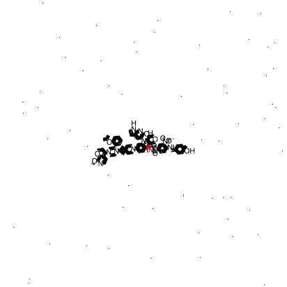 COc1nccc2c1OCC[C@@H]2N1CCN(C2CC3(CCN(c4ccc(C(=O)NS(=O)(=O)c5ccc(NCC6CCC(C)(O)CC6)c([N+](=O)[O-])c5)c(N5c6cc7cc[nH]c7nc6O[C@H]6COCC[C@@H]65)c4)CC3)C2)[C@@H](c2ccccc2OC(C)C)C1